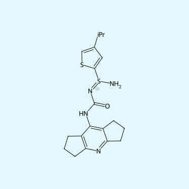 CC(C)c1csc(/S(N)=N/C(=O)Nc2c3c(nc4c2CCC4)CCC3)c1